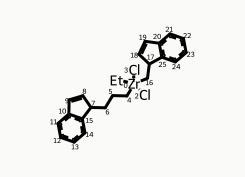 C[CH2][Zr]([Cl])([Cl])([CH2]CCC1C=Cc2ccccc21)[CH2]C1C=Cc2ccccc21